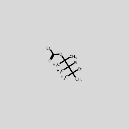 CCC(=O)OC(C)(C)C(C)(CC)C(C)(C)CC